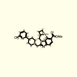 COC(=O)c1ccc2nc(CN3CCC(c4cccc(Cl)n4)CC3)n(CC3CCO3)c2c1F